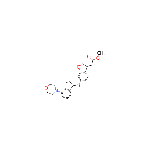 COC(=O)C[C@@H]1COc2cc(O[C@@H]3CCc4c3cccc4N3CCOCC3)ccc21